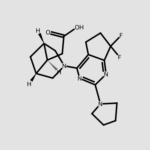 O=C(O)C[C@@H]1[C@@H]2C[C@H]1CN(c1nc(N3CCCC3)nc3c1CCC3(F)F)C2